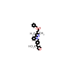 Cc1nc2c(c(C)c1CCC(=O)OCc1ccccc1)c1ccccc1n2Cc1ccc(C(C(=O)O)C2CCOCC2)cc1